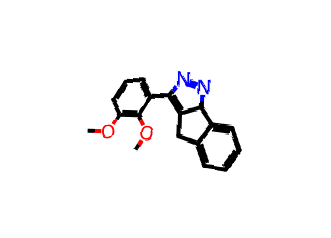 COc1cccc(C2=C3Cc4ccccc4C3N=N2)c1OC